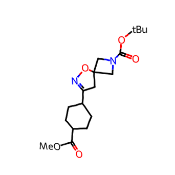 COC(=O)C1CCC(C2=NOC3(C2)CN(C(=O)OC(C)(C)C)C3)CC1